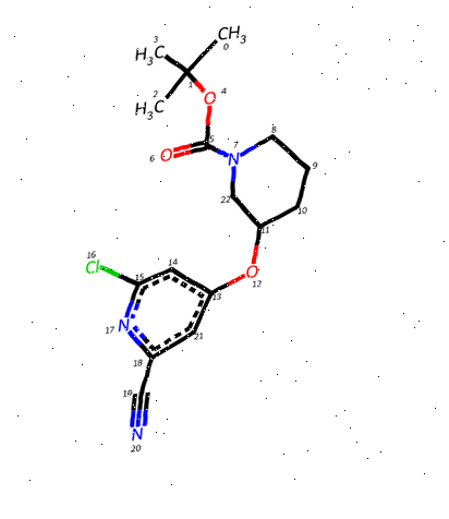 CC(C)(C)OC(=O)N1CCCC(Oc2cc(Cl)nc(C#N)c2)C1